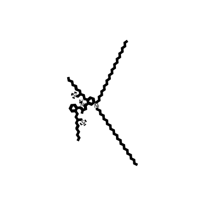 CCCCC=CCC(CCc1ccccc1C1=CC(C)=C(c2ccccc2CCC(CC=CCCCC)C[Si](C)(C)C)[N+]1=[N-])C[Si](C)(C)C.CCCCCCCCCCCCCCCCCCCCCCC[CH2][Ni][CH2]CCCCCCCCCCCCCCCCCCCCCCC